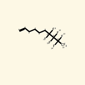 C=CCCCCC(F)(F)C(F)(F)C(F)(F)C(F)(F)F